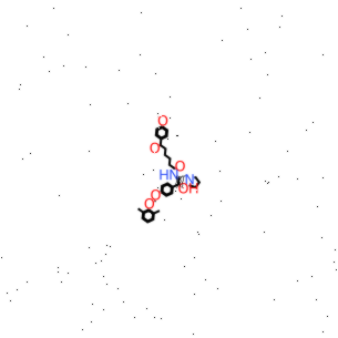 COc1ccc(C(=O)CCCCC(=O)N[C@H](CN2CCCC2)[C@H](O)c2ccc(OCOc3c(C)cccc3C)cc2)cc1